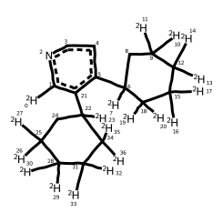 [2H]c1nccc(C2([2H])CC([2H])([2H])C([2H])([2H])C([2H])([2H])C2([2H])[2H])c1C1([2H])CC([2H])([2H])C([2H])([2H])C([2H])([2H])C1([2H])[2H]